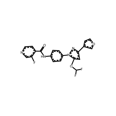 O=C(Nc1ccc(-n2nc(-c3ccoc3)cc2OC(F)F)cc1)c1ccncc1F